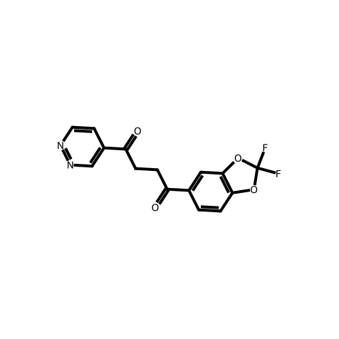 O=C(CCC(=O)c1ccc2c(c1)OC(F)(F)O2)c1ccnnc1